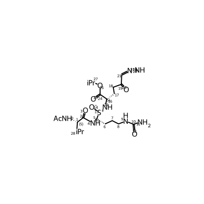 CC(=O)N[C@H](C(=O)N[C@@H](CCCNC(N)=O)[S+]([O-])N[C@@H](CCC(=O)C=[N+]=N)C(=O)OC(C)C)C(C)C